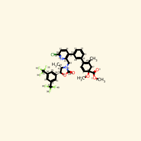 COC(=O)C1(OC)C=CC(c2cccc(-c3ccc(Cl)nc3CN3C(=O)O[C@H](c4cc(C(F)(F)F)cc(C(F)(F)F)c4)[C@@H]3C)c2)=C(C)C1